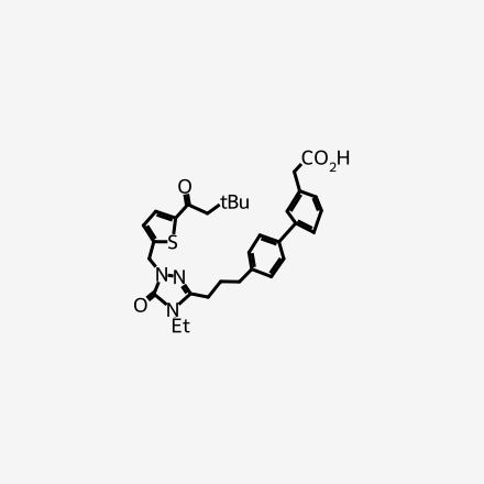 CCn1c(CCCc2ccc(-c3cccc(CC(=O)O)c3)cc2)nn(Cc2ccc(C(=O)CC(C)(C)C)s2)c1=O